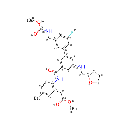 CCc1ccc(NC(=O)c2cc(NC[C@@H]3CCCO3)cc(-c3cc(F)cc(CNC(=O)OC(C)(C)C)c3)c2)c(CC(=O)OC(C)(C)C)c1